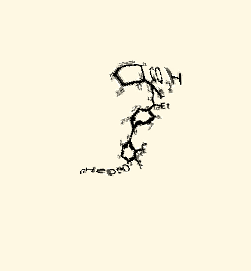 CCCCCCCOc1ccc(-c2ccc(C(CC)C[C@@](F)(C(=O)O)C3CCCCC3)cc2)c(F)c1F